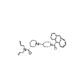 C=CCN(CC=C)C(=O)[C@@H]1CCCN(C2CCN(C(=O)c3c4ccccc4cc4ccccc34)CC2)C1